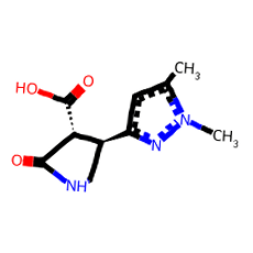 Cc1cc([C@H]2CNC(=O)[C@@H]2C(=O)O)nn1C